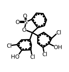 O=S1(=O)OC(c2cc(Cl)c(O)c(Cl)c2)(c2cc(Cl)c(O)c(Cl)c2)c2ccccc21